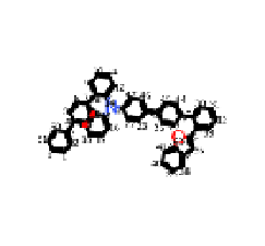 c1ccc(-c2ccc(-c3ccccc3N(c3ccccc3)c3ccc(-c4ccc(-c5ccccc5-c5cc6ccccc6o5)cc4)cc3)cc2)cc1